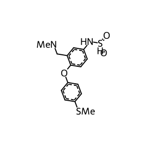 CNCc1cc(N[SH](=O)=O)ccc1Oc1ccc(SC)cc1